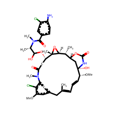 COc1cc2cc(c1Cl)N(C)C(=O)C[C@H](OC(O)[C@H](C)N(C)C(=O)c1ccc(N)c(Cl)c1)[C@]1(C)O[C@H]1[C@H](C)[C@@H]1C[C@@](O)(NC(=O)O1)[C@H](OC)/C=C/C=C(\C)C2